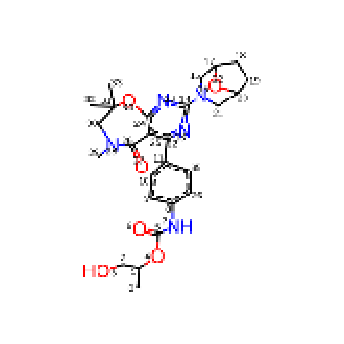 C[C@@H](CO)OC(=O)Nc1ccc(-c2nc(N3CC4CCC(C3)O4)nc3c2C(=O)N(C)CC(C)(C)O3)cc1